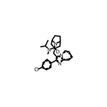 CC(C)N(C)C(=O)N1C2CCC1CN(Cc1c(-c3ccc(Cl)cc3)nc3ccccn13)C2